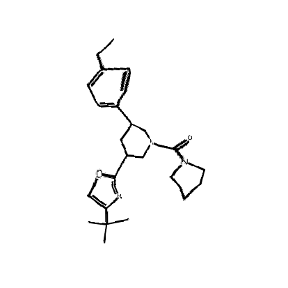 CCc1ccc(C2CC(c3nc(C(C)(C)C)co3)CN(C(=O)N3CCCC3)C2)cc1